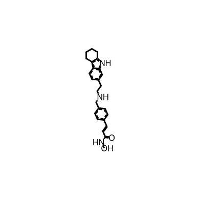 O=C(/C=C/c1ccc(CNCCc2ccc3c4c([nH]c3c2)CCCC4)cc1)NO